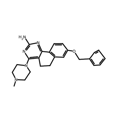 CN1CCN(c2nc(N)nc3c2CCc2cc(OCc4ccccc4)ccc2-3)CC1